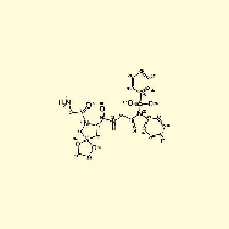 NCC(=O)N1CC2(CC1C(=O)NCc1cc3cnccc3n1S(=O)(=O)c1ccccc1)OCCO2